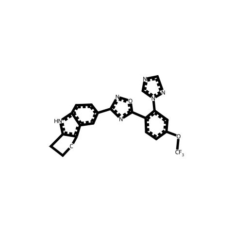 FC(F)(F)Oc1ccc(-c2nc(-c3ccc4[nH]c5c(c4c3)CC[CH]5)no2)c(-n2cncn2)c1